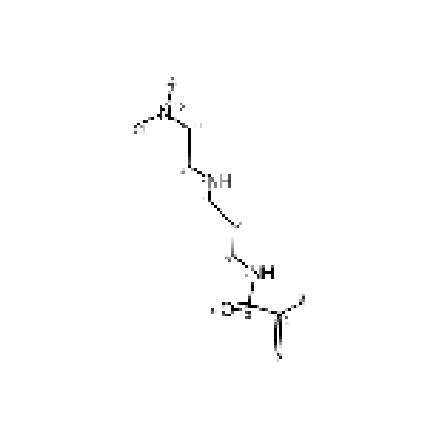 C=C(C)C(=O)NCCCNCCN(C)C